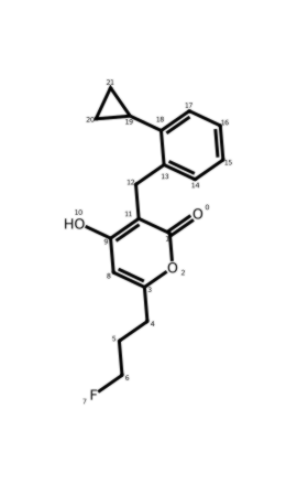 O=c1oc(CCCF)cc(O)c1Cc1ccccc1C1CC1